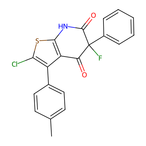 Cc1ccc(-c2c(Cl)sc3c2C(=O)C(F)(c2ccccc2)C(=O)N3)cc1